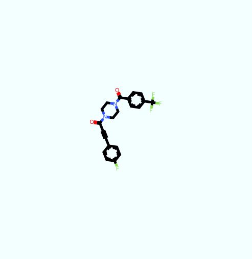 O=C(C#Cc1ccc(F)cc1)N1CCN(C(=O)c2ccc(C(F)(F)F)cc2)CC1